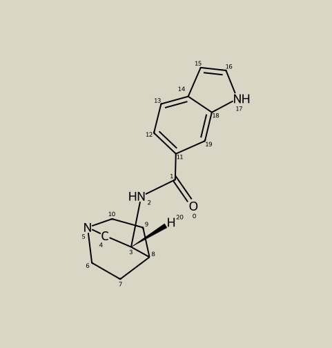 O=C(N[C@H]1CN2CCC1CC2)c1ccc2cc[nH]c2c1